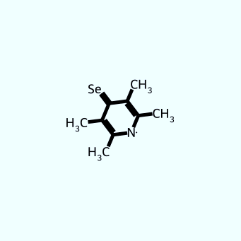 CC1=C(C)C(=[Se])C(C)=C(C)[N]1